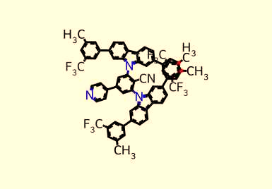 Cc1cc(-c2ccc3c4ccc(-c5cc(C)cc(C(F)(F)F)c5)cc4n(-c4cc(-c5ccncc5)cc(-n5c6cc(-c7cc(C)cc(C(F)(F)F)c7)ccc6c6ccc(-c7cc(C)cc(C(F)(F)F)c7)cc65)c4C#N)c3c2)cc(C(F)(F)F)c1